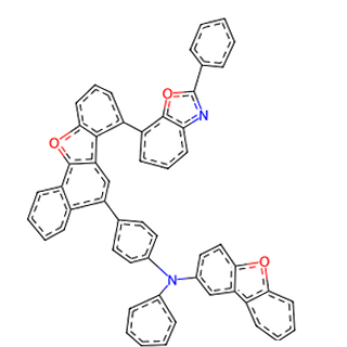 c1ccc(-c2nc3cccc(-c4cccc5oc6c7ccccc7c(-c7ccc(N(c8ccccc8)c8ccc9oc%10ccccc%10c9c8)cc7)cc6c45)c3o2)cc1